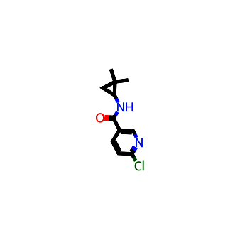 CC1(C)CC1NC(=O)c1ccc(Cl)nc1